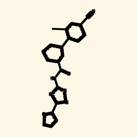 Cc1cc(C#N)ccc1-c1cccc(C(=O)Nc2nnc(-c3ccco3)o2)c1